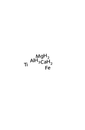 [AlH3].[CaH2].[Fe].[MgH2].[Ti]